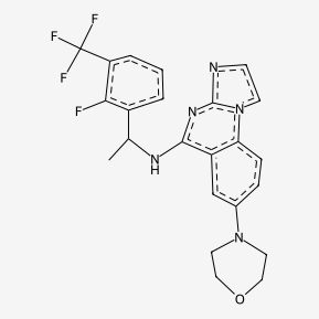 CC(Nc1nc2nccn2c2ccc(N3CCOCC3)cc12)c1cccc(C(F)(F)F)c1F